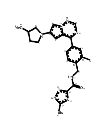 COC1CCN(c2cc3c(-c4ccc(CNC(=O)c5nc(C(C)(C)C)no5)c(C)c4)ncnn3c2)C1